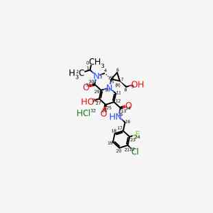 CC(C)N1C[C@@]2(C[C@H]2CO)n2cc(C(=O)NCc3cccc(Cl)c3F)c(=O)c(O)c2C1=O.Cl